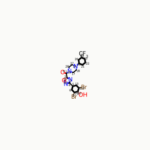 O=C(c1nc(-c2cc(Br)c(O)c(Br)c2)no1)N1CCN(c2cccc(C(F)(F)F)c2)CC1